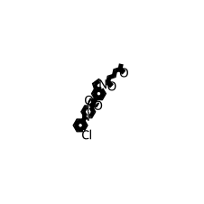 CC(=O)CCCC(=O)N1CCc2cc(S(=O)(=O)N3CCN(c4cccc(Cl)c4)CC3)ccc21